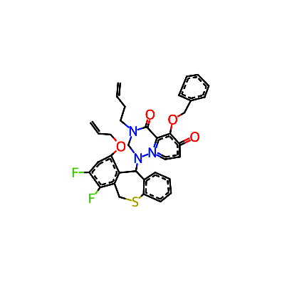 C=CCCN1CN(C2c3ccccc3SCc3c(F)c(F)cc(OCC=C)c32)n2ccc(=O)c(OCc3ccccc3)c2C1=O